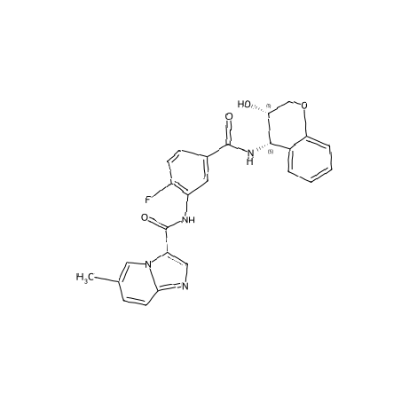 Cc1ccc2ncc(C(=O)Nc3cc(C(=O)N[C@H]4c5ccccc5OC[C@H]4O)ccc3F)n2c1